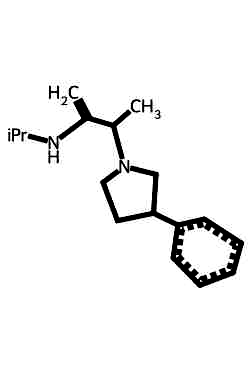 C=C(NC(C)C)C(C)N1CCC(c2ccccc2)C1